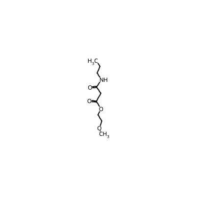 CCCNC(=O)CC(=O)OCCOC